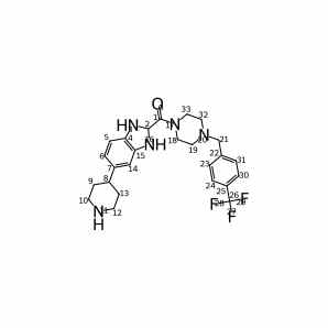 O=C(C1Nc2ccc(C3CCNCC3)cc2N1)N1CCN(Cc2ccc(C(F)(F)F)cc2)CC1